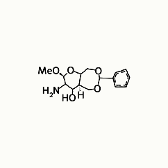 CO[C@H]1OC2COC(c3ccccc3)OC[C@H]2C(O)C1N